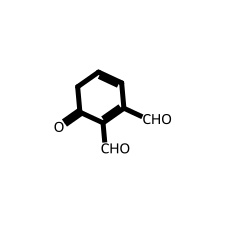 O=CC1=C(C=O)C(=O)CC=C1